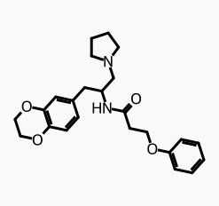 O=C(CCOc1ccccc1)NC(Cc1ccc2c(c1)OCCO2)CN1CCCC1